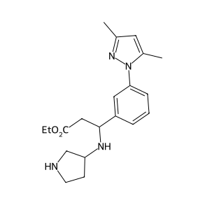 CCOC(=O)CC(NC1CCNC1)c1cccc(-n2nc(C)cc2C)c1